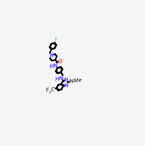 CNc1nc(NCc2ccc(NC(=O)C3CCN(Cc4ccc(F)cc4)CC3)cc2)c2cc(C(F)(F)F)ccc2n1